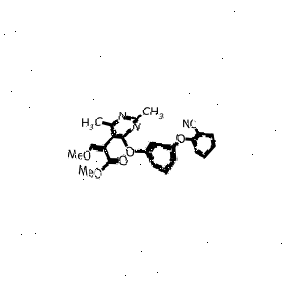 COC=C(C(=O)OC)c1c(C)nc(C)nc1Oc1cccc(Oc2ccccc2C#N)c1